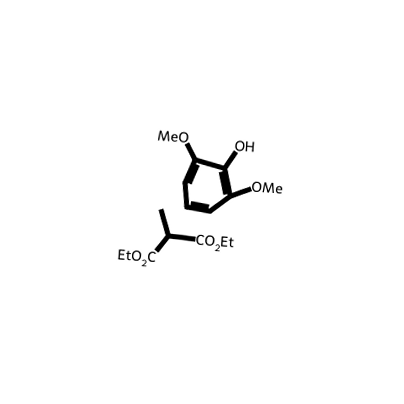 CCOC(=O)C(C)C(=O)OCC.COc1cccc(OC)c1O